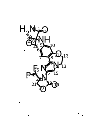 NC(=O)C1(Nc2ccc3c(c2)OCCn2cc(N4C(=O)OCC4C(F)F)nc2-3)COC1